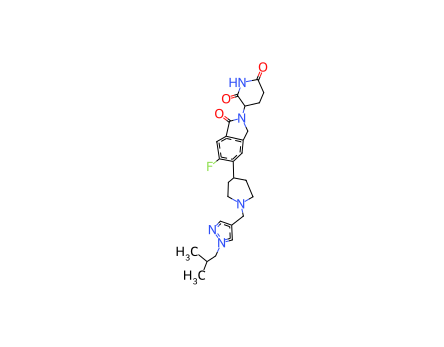 CC(C)Cn1cc(CN2CCC(c3cc4c(cc3F)C(=O)N(C3CCC(=O)NC3=O)C4)CC2)cn1